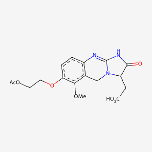 COc1c(OCCOC(C)=O)ccc2c1CN1C(=N2)NC(=O)C1CC(=O)O